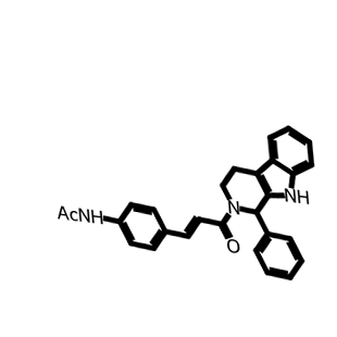 CC(=O)Nc1ccc(C=CC(=O)N2CCc3c([nH]c4ccccc34)C2c2ccccc2)cc1